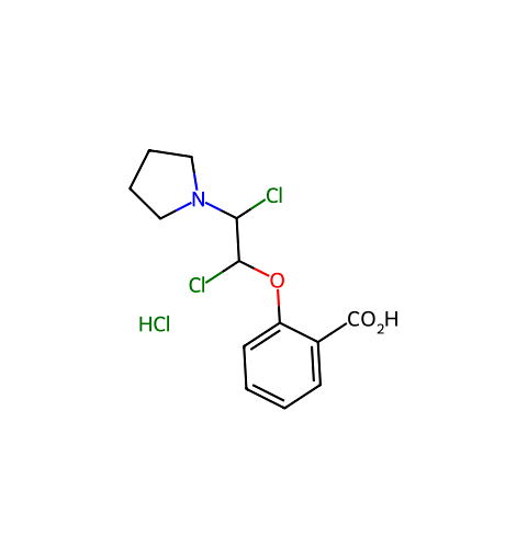 Cl.O=C(O)c1ccccc1OC(Cl)C(Cl)N1CCCC1